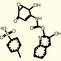 Cc1ccc(S(=O)(=O)O)cc1.O=C(NC1=CC(=O)C2OC2C1O)Oc1nc2ccccc2cc1O